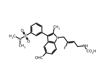 Cc1c(-c2cccc(S(=O)(=O)N(C)C)c2)c2cc(C=O)ccc2n1CC(F)=CCNC(=O)O